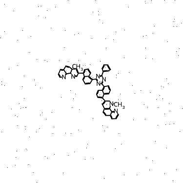 CN1CC(c2cccc3c(-c4nc(-c5ccccc5)nc(-c5cccc6c(C7=CC8(C)C=Cc9cccnc9C8N=C7)cccc56)n4)cccc23)=Cc2ccc3cccnc3c21